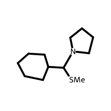 CSC(C1CCCCC1)N1CCCC1